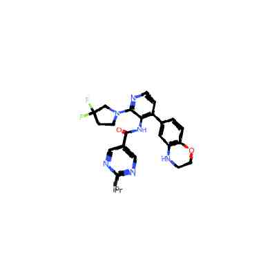 CC(C)c1ncc(C(=O)Nc2c(-c3ccc4c(c3)NCCO4)ccnc2N2CCC(F)(F)C2)cn1